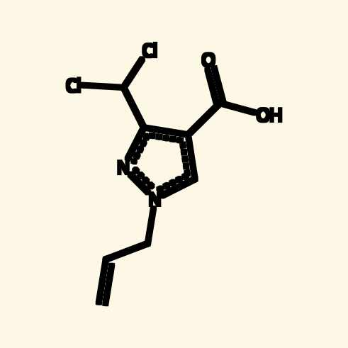 C=CCn1cc(C(=O)O)c(C(Cl)Cl)n1